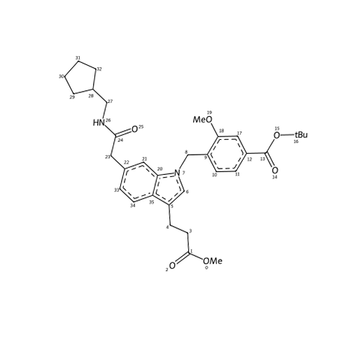 COC(=O)CCc1cn(Cc2ccc(C(=O)OC(C)(C)C)cc2OC)c2cc(CC(=O)NCC3CCCC3)ccc12